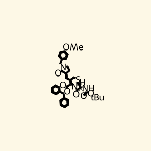 COc1ccc(CN2CCC(=CC3=C(C(=O)OC(c4ccccc4)c4ccccc4)N4C(=O)[C@@H](NC(=O)OC(C)(C)C)[C@H]4SC3)C2=O)cc1